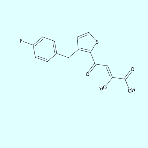 O=C(O)C(O)=CC(=O)c1sccc1Cc1ccc(F)cc1